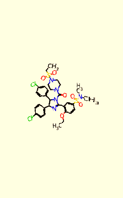 CCOc1ccc(S(=O)(=O)N(C)C)cc1C1=NC(c2ccc(Cl)cc2)C(c2ccc(Cl)cc2)N1C(=O)N1CCN(S(=O)(=O)CC)CC1